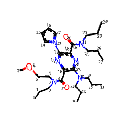 CCCN(CCOC)C(=O)c1nc(-n2cccc2)c(C(=O)N(CCC)CCC)nc1N(CCC)CCC